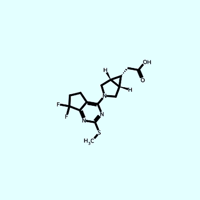 CSc1nc(N2C[C@@H]3[C@H](CC(=O)O)[C@@H]3C2)c2c(n1)C(F)(F)CC2